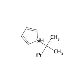 CC(C)C(C)(C)[SiH]1C=CC=C1